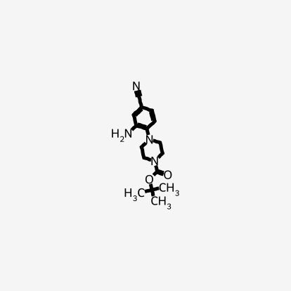 CC(C)(C)OC(=O)N1CCN(c2ccc(C#N)cc2N)CC1